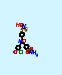 COc1ccc(-c2nc(-c3ccc(SC(=S)N(C)O)cc3)oc2-c2ccc(S(N)(=O)=O)cc2)cc1Cl